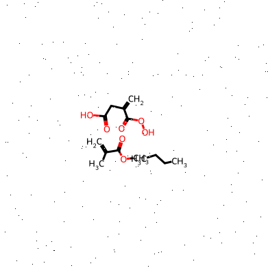 C=C(C)C(=O)OC.C=C(CC(=O)O)C(=O)OO.CCCC